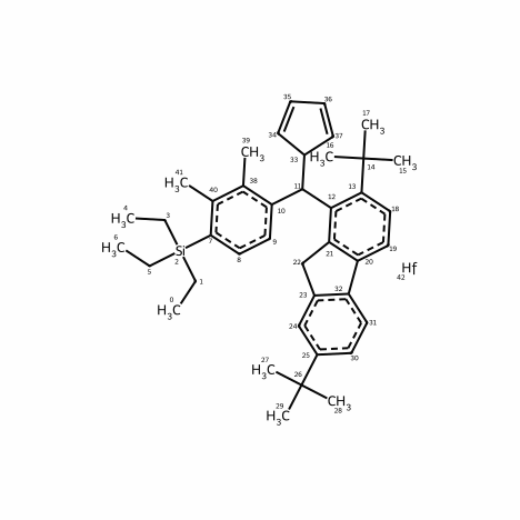 CC[Si](CC)(CC)c1ccc(C(c2c(C(C)(C)C)ccc3c2Cc2cc(C(C)(C)C)ccc2-3)C2C=CC=C2)c(C)c1C.[Hf]